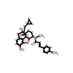 Cc1ccc(/C=C/C(=O)N(C)C2CC[C@@]3(O)[C@H]4Cc5ccc(O)c6c5[C@@]3(CCN4CC3CC3)C2O6)cc1